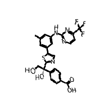 Cc1cc(Nc2nccc(C(F)(F)F)n2)cc(-c2cnc([C@](O)(CO)c3ccc(C(=O)O)cc3)s2)c1